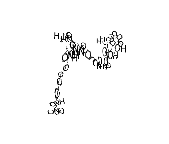 COc1cccc2c1C(=O)c1c(O)c3c(c(O)c1C2=O)C[C@@](O)(C(=O)COC(=O)N(C)CCN(C)C(=O)OCc1ccc(NC(=O)C(CCCNC(N)=O)NC(=O)C(NC(=O)CCOCCOCCOCCOCCNC(=O)CCN2C(=O)CCC2=O)C(C)C)cc1)C[C@@H]3O